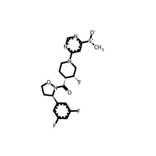 C[S@+]([O-])c1cc(N2CC[C@@H](C(=O)N3OCC[C@@H]3c3cc(F)cc(F)c3)[C@@H](F)C2)ncn1